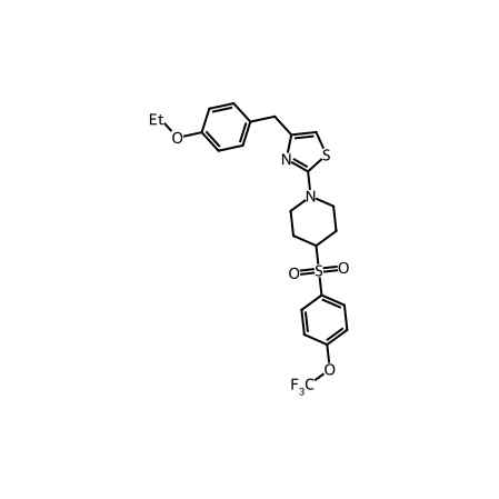 CCOc1ccc(Cc2csc(N3CCC(S(=O)(=O)c4ccc(OC(F)(F)F)cc4)CC3)n2)cc1